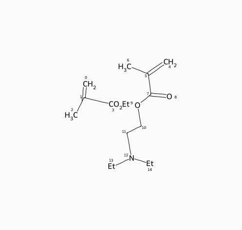 C=C(C)C(=O)OCC.C=C(C)C(=O)OCCN(CC)CC